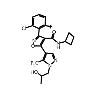 CC(O)Cn1ncc(-c2onc(-c3c(F)cccc3Cl)c2C(=O)NC2CCC2)c1C(F)(F)F